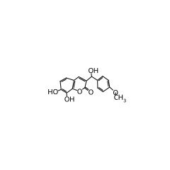 COc1ccc(C(O)c2cc3ccc(O)c(O)c3oc2=O)cc1